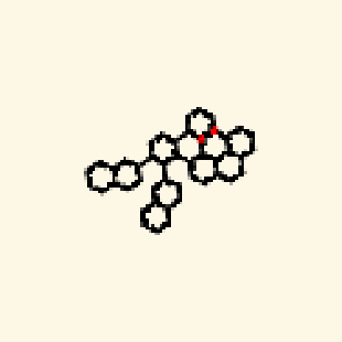 c1ccc(-c2ccc(-c3ccc4ccccc4c3)c(-c3ccc4ccccc4c3)c2-c2ccc3ccc4cccc5ccc2c3c45)cc1